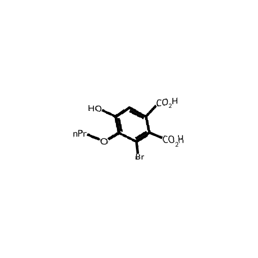 CCCOc1c(O)cc(C(=O)O)c(C(=O)O)c1Br